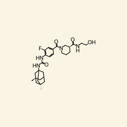 C[C@]12CC3CC(NC(=O)Nc4ccc(C(=O)N5CCC[C@H](C(=O)NCCO)C5)cc4F)(C1)C[C@@](C)(C3)C2